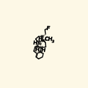 C[C@]12CC[C@H]3[C@@H](C=CC4=CCCC[C@@H]43)[C@@H]1CC[C@@H]2CCF